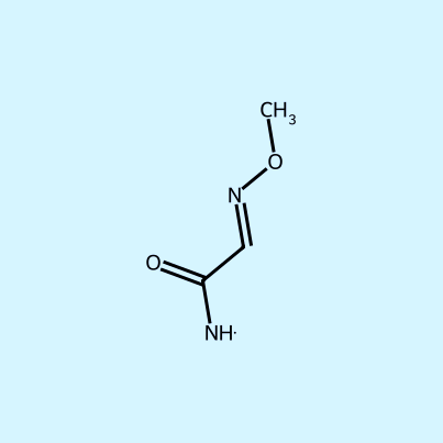 CON=CC([NH])=O